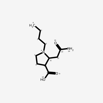 CCCCN1CCC(C(=O)O)C1CC(N)=O